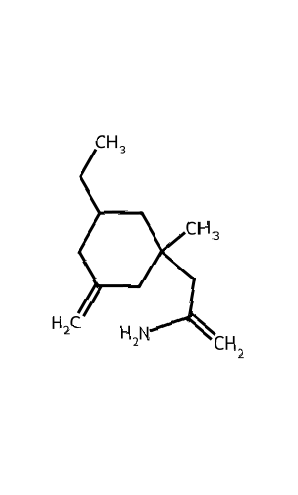 C=C(N)CC1(C)CC(=C)CC(CC)C1